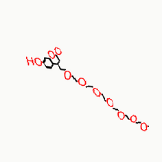 COCCOCCOCCOCCOCCOCCOCCC1CC(=O)Oc2cc(O)ccc21